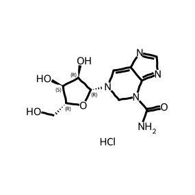 Cl.NC(=O)N1CN([C@@H]2O[C@H](CO)[C@@H](O)[C@H]2O)C=C2N=CN=C21